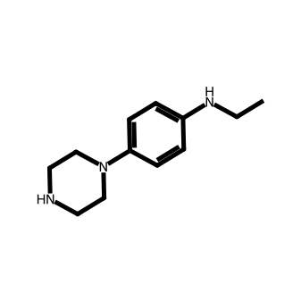 CCNc1ccc(N2CCNCC2)cc1